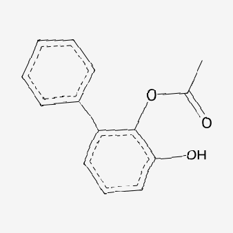 CC(=O)Oc1c(O)cccc1-c1ccccc1